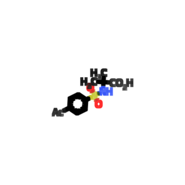 CC(=O)c1ccc(S(=O)(=O)NC(C)(C)C(=O)O)cc1